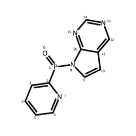 O=[P](c1ccccn1)n1ccc2cncnc21